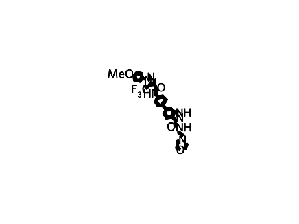 COc1ccc(-n2ncc(C(=O)Nc3ccc(-c4ccc5c(C(=O)NCCN6CCOCC6)n[nH]c5c4)cc3)c2C(F)(F)F)cc1